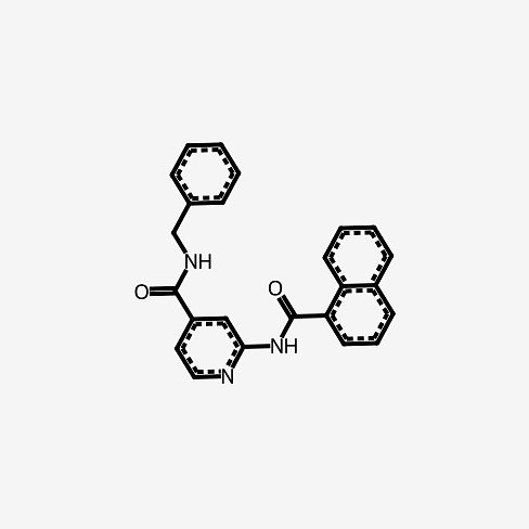 O=C(NCc1ccccc1)c1ccnc(NC(=O)c2cccc3ccccc23)c1